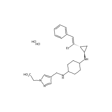 CC/C(=C\c1ccccc1)[C@@H]1C[C@H]1NC1CCC(NCc2cnn(CC(=O)O)c2)CC1.Cl.Cl